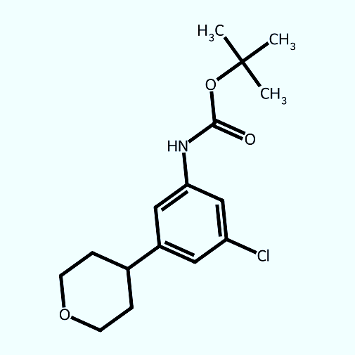 CC(C)(C)OC(=O)Nc1cc(Cl)cc(C2CCOCC2)c1